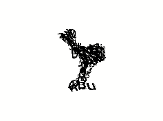 CCCCOCCOc1ccc(-c2ccc3c(c2)C=C(C(=O)Nc2ccc(CN(C)C4CCOCC4)cc2)CCN3Cc2cccs2)cc1